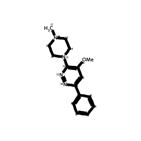 COc1cc(-c2ccccc2)nnc1N1CCN(C)CC1